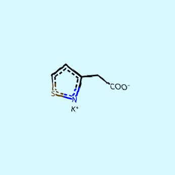 O=C([O-])Cc1ccsn1.[K+]